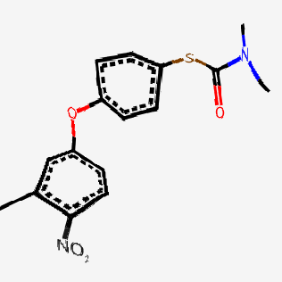 Cc1cc(Oc2ccc(SC(=O)N(C)C)cc2)ccc1[N+](=O)[O-]